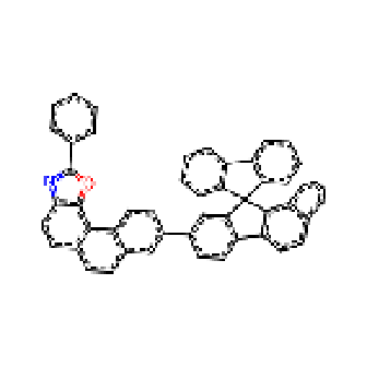 c1ccc(-c2nc3ccc4ccc5cc(-c6ccc7c(c6)C6(c8ccccc8-c8ccccc86)c6c-7ccc7ccccc67)ccc5c4c3o2)cc1